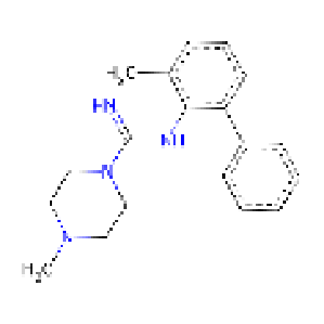 Cc1cccc(-c2ccccc2)c1NC(=N)N1CCN(C)CC1